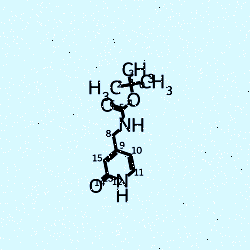 CC(C)(C)OC(=O)NCc1cc[nH]c(=O)c1